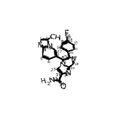 Cc1cnc2ccc(-c3c(-c4ccc(F)cc4)ncc4nc(C(N)=O)cn34)cn12